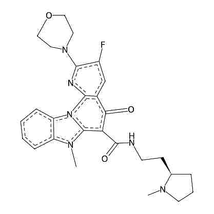 CN1CCC[C@@H]1CCNC(=O)c1c(=O)c2cc(F)c(N3CCOCC3)nc2n2c3ccccc3n(C)c12